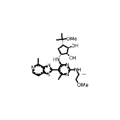 COC[C@@H](C)Nc1nc(C)c(-c2nc3c(C)nccc3s2)c(N[C@@H]2C[C@H](C(C)(C)OC)[C@@H](O)[C@H]2O)n1